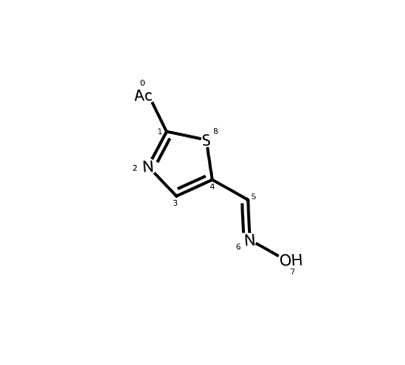 CC(=O)c1ncc(/C=N/O)s1